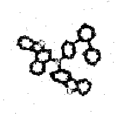 c1ccc(-c2ccccc2-c2ccc(N(c3ccc4oc5ccccc5c4c3)c3cc4oc5ccccc5c4c4ccccc34)cc2)cc1